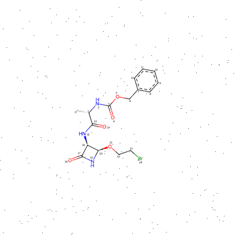 C[C@H](NC(=O)OCc1ccccc1)C(=O)N[C@@H]1C(=O)N[C@@H]1OCCBr